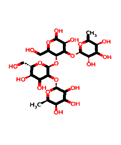 CC1O[C@@H](OC2[C@H](O)C(O)OC(CO)[C@H]2O[C@@H]2O[C@@H](CO)[C@H](O)C(O)C2O[C@H]2O[C@H](C)[C@H](O)C(O)C2O)[C@@H](O)C(O)[C@@H]1O